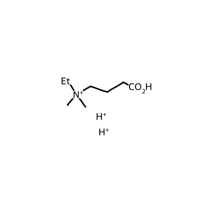 CC[N+](C)(C)CCCC(=O)O.[H+].[H+]